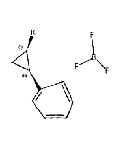 FB(F)F.[K][C@@H]1C[C@@H]1c1ccccc1